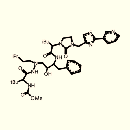 CCC(C)C(C(=O)NC(Cc1ccccc1)C(O)CN(CCC(C)C)NC(=O)C(NC(=O)OC)C(C)(C)C)N1CCN(Cc2csc(-c3cccnc3)n2)C1=O